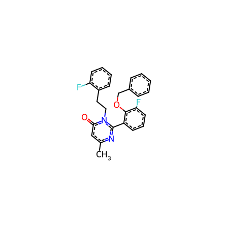 Cc1cc(=O)n(CCc2ccccc2F)c(-c2cccc(F)c2OCc2ccccc2)n1